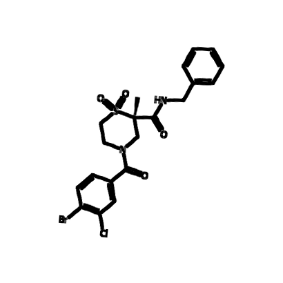 C[C@@]1(C(=O)NCc2ccccc2)CN(C(=O)c2ccc(Br)c(Cl)c2)CCS1(=O)=O